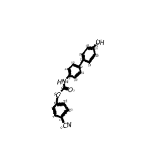 N#Cc1ccc(OC(=O)Nc2ccc(-c3ccc(O)cc3)cc2)cc1